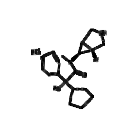 CN(C(=O)C(O)(c1ccccc1)C1CCCC1)[C@H]1C2CNC[C@@H]21.Cl